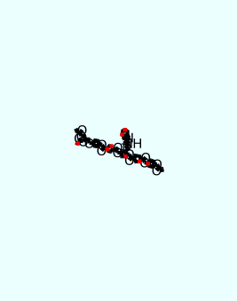 C=CC(=O)OCC(COc1ccc(OC(=O)C2CCC(C(=O)Oc3ccc(OC(=O)C4CCC(C(=O)Oc5ccc(OC(=O)C=C)cc5)CC4)c(/C=N/NC4=NC5C=CC=CC5S4)c3)CC2)cc1)OC(=O)C=C